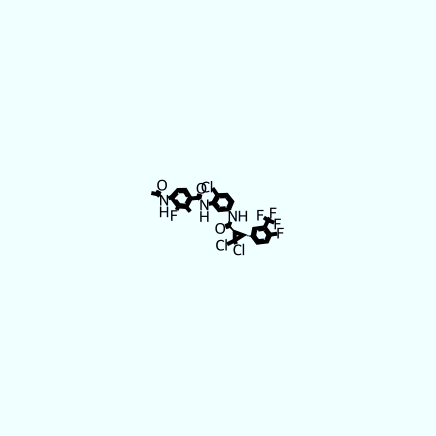 CC(=O)Nc1ccc(C(=O)Nc2cc(NC(=O)[C@H]3[C@H](c4ccc(F)c(C(F)(F)F)c4)C3(Cl)Cl)ccc2Cl)c(C)c1F